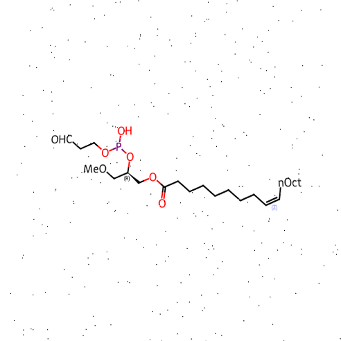 CCCCCCCC/C=C\CCCCCCCC(=O)OC[C@@H](COC)OP(O)OCCC=O